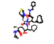 CCCCNC(=O)[C@@H](C[C@H](O)[C@H](CC1CCCCC1)NC(=O)[C@H](Cc1cscn1)NC(=O)[C@@H](CC(=O)N(C)Cc1ccccc1)Cc1ccccc1)C(C)C